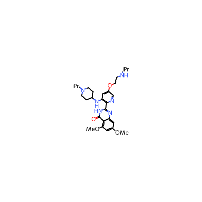 COc1cc(OC)c2c(=O)[nH]c(-c3ncc(OCCNC(C)C)cc3NC3CCN(C(C)C)CC3)nc2c1